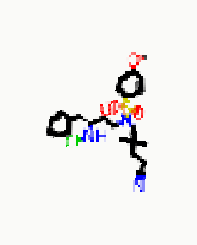 COc1ccc(S(=O)(=O)N(C[C@@H](O)[C@H](Cc2ccccc2)NCl)CC(C)(C)CCC#N)cc1